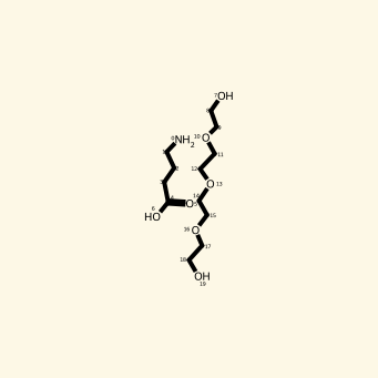 NCCCC(=O)O.OCCOCCOCCOCCO